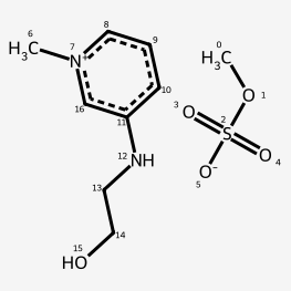 COS(=O)(=O)[O-].C[n+]1cccc(NCCO)c1